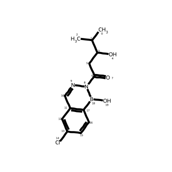 CC(C)C(O)CC(=O)N1N=Cc2cc(Cl)ccc2B1O